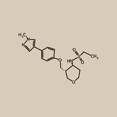 CCS(=O)(=O)N[C@H]1CCOC[C@@H]1COc1ccc(-c2cnn(C)c2)cc1